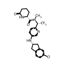 CN(C(=O)[C@H]1CCCC(=O)N1)[C@@H](c1ccc(N[C@H]2Cc3ccc(Cl)cc3C2)cn1)C(F)(F)F